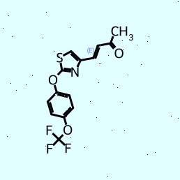 CC(=O)/C=C/c1csc(Oc2ccc(OC(F)(F)F)cc2)n1